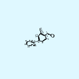 O=Cc1ccc(-c2ncccn2)cc1F